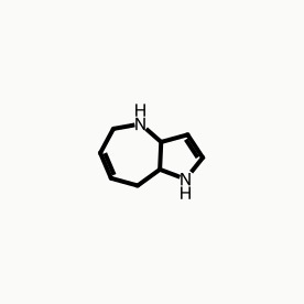 C1=CCC2NC=CC2NC1